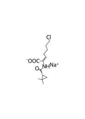 CC1(C)C[C@@H]1C(=O)N/C(=C/CCCCCl)C(=O)[O-].[Na+]